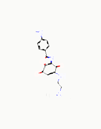 CCN(CC)c1ccc(-c2nc3c(o2)C(=O)C=C(NCCN(C)C)C3=O)cc1